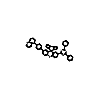 c1ccc(-c2nc(-c3ccccc3)nc(-c3ccc4c(c3)C3(c5cc(-c6ccc(-c7cccc8ncccc78)cc6)ccc5S4)c4ccccc4-c4ccccc43)n2)cc1